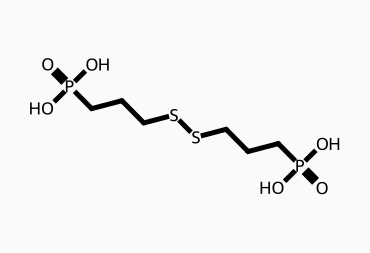 O=P(O)(O)CCCSSCCCP(=O)(O)O